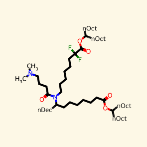 CCCCCCCCCCC(CCCCCCC(=O)OC(CCCCCCCC)CCCCCCCC)N(CCCCCCC(F)(F)C(=O)OC(CCCCCCCC)CCCCCCCC)C(=O)CCCN(C)C